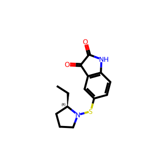 CC[C@@H]1CCCN1Sc1ccc2c(c1)C(=O)C(=O)N2